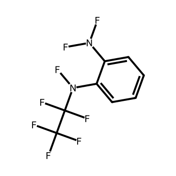 FN(F)c1ccccc1N(F)C(F)(F)C(F)(F)F